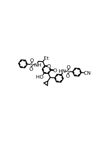 CCC(CNS(=O)(=O)c1ccccc1)c1cc(O)c(C(c2cccc(NS(=O)(=O)c3ccc(C#N)cc3)c2)C2CC2)c(=O)o1